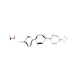 C=C(C)C(=O)Oc1ccc(-c2ccc(C3CCC([Si](C)(C)C)CC3)cc2)cc1